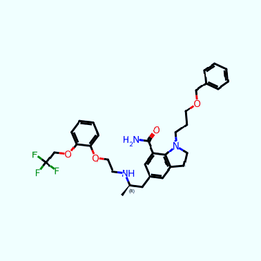 C[C@H](Cc1cc2c(c(C(N)=O)c1)N(CCCOCc1ccccc1)CC2)NCCOc1ccccc1OCC(F)(F)F